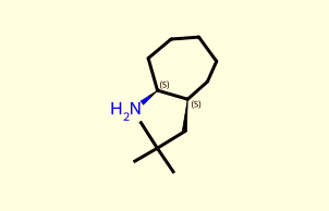 CC(C)(C)C[C@@H]1CCCCC[C@@H]1N